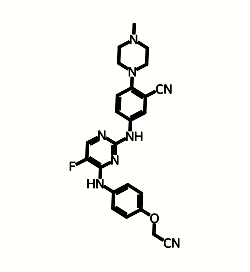 CN1CCN(c2ccc(Nc3ncc(F)c(Nc4ccc(OCC#N)cc4)n3)cc2C#N)CC1